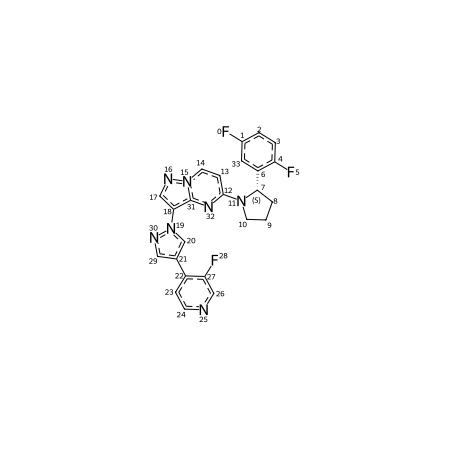 Fc1ccc(F)c([C@@H]2CCCN2c2ccn3ncc(-n4cc(-c5ccncc5F)cn4)c3n2)c1